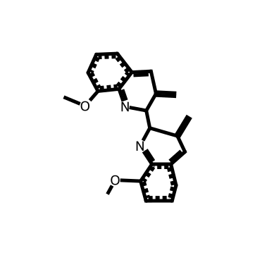 C=C1C=c2cccc(OC)c2=NC1C1N=c2c(OC)cccc2=CC1=C